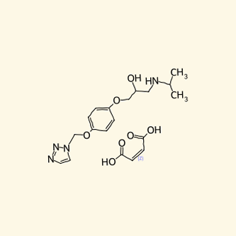 CC(C)NCC(O)COc1ccc(OCn2ccnn2)cc1.O=C(O)/C=C\C(=O)O